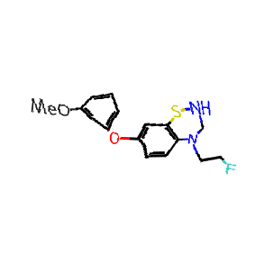 COc1cccc(Oc2ccc3c(c2)SNCN3CCF)c1